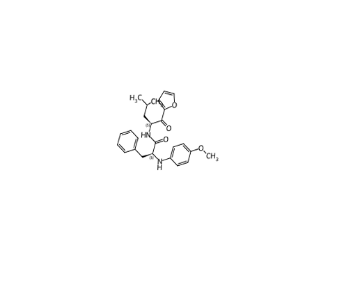 COc1ccc(N[C@@H](Cc2ccccc2)C(=O)N[C@@H](CC(C)C)C(=O)c2ccco2)cc1